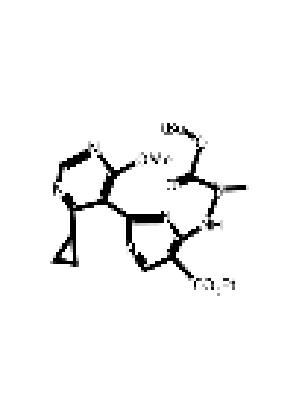 CCOC(=O)c1cnc(-c2c(OC)ncnc2C2CC2)nc1NN(C)C(=O)OC(C)(C)C